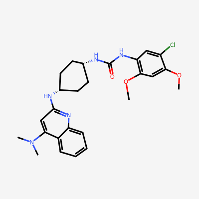 COc1cc(OC)c(NC(=O)N[C@H]2CC[C@@H](Nc3cc(N(C)C)c4ccccc4n3)CC2)cc1Cl